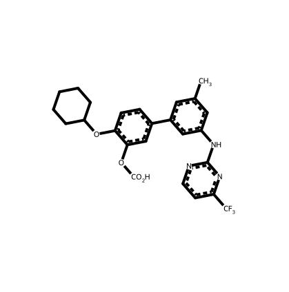 Cc1cc(Nc2nccc(C(F)(F)F)n2)cc(-c2ccc(OC3CCCCC3)c(OC(=O)O)c2)c1